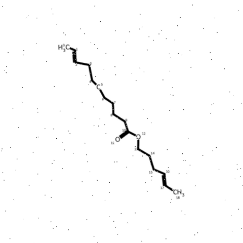 CC=CCCCCCCCC(=O)OCCC/C=C/C